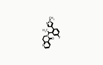 CC(c1cc(F)ccc1-c1cnn(C)c1)N1CCc2ncccc2C1=O